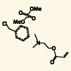 C=CC(=O)OCCN(C)C.COS(=O)(=O)OC.ClCc1ccccc1